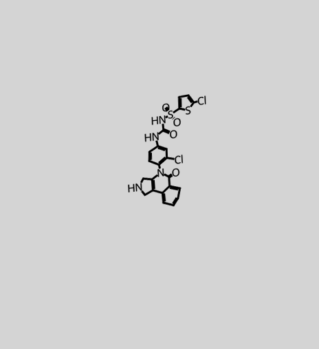 O=C(Nc1ccc(-n2c3c(c4ccccc4c2=O)CNC3)c(Cl)c1)NS(=O)(=O)c1ccc(Cl)s1